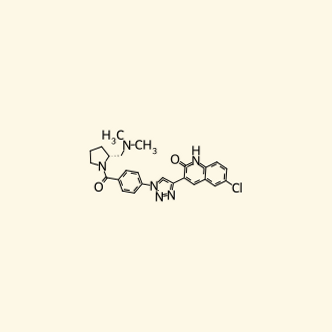 CN(C)C[C@H]1CCCN1C(=O)c1ccc(-n2cc(-c3cc4cc(Cl)ccc4[nH]c3=O)nn2)cc1